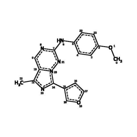 COc1ccc(Nc2ncc3c(C)nc(-c4ccoc4)n3n2)cc1